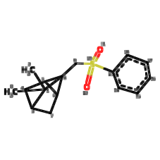 CC1(C)C2CC3C(C2)C31CS(=O)(=O)c1ccccc1